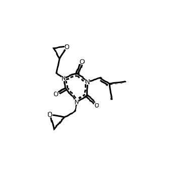 CC(C)=Cn1c(=O)n(CC2CO2)c(=O)n(CC2CO2)c1=O